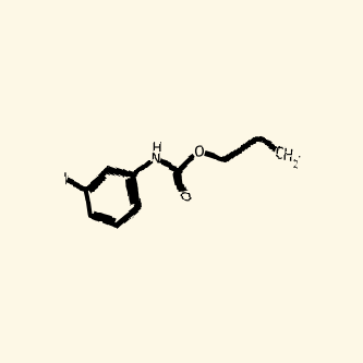 [CH2]CCOC(=O)Nc1cccc(I)c1